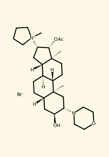 CC(=O)O[C@H]1[C@@H]([N+]2(C)CCCC2)C[C@H]2[C@@H]3CC[C@H]4C[C@H](O)[C@@H](N5CCOCC5)C[C@]4(C)[C@H]3CC[C@@]21C.[Br-]